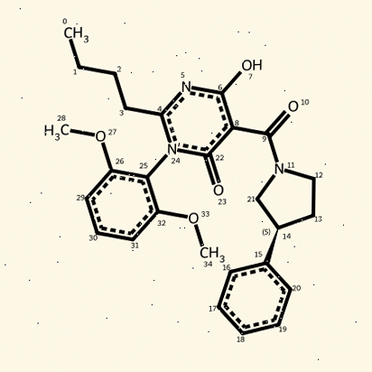 CCCCc1nc(O)c(C(=O)N2CC[C@@H](c3ccccc3)C2)c(=O)n1-c1c(OC)cccc1OC